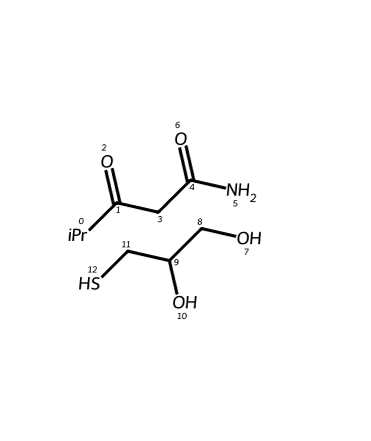 CC(C)C(=O)CC(N)=O.OCC(O)CS